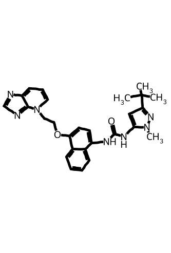 Cn1nc(C(C)(C)C)cc1NC(=O)Nc1ccc(OCCn2cccc3ncnc2-3)c2ccccc12